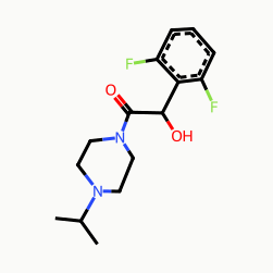 CC(C)N1CCN(C(=O)C(O)c2c(F)cccc2F)CC1